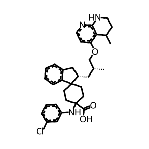 CC1CCNc2nccc(OC[C@H](C)C[C@H]3Cc4ccccc4C34CCC(Nc3cccc(Cl)c3)(C(=O)O)CC4)c21